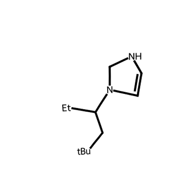 CCC(CC(C)(C)C)N1C=CNC1